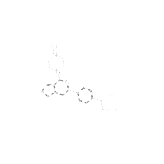 CCN1CCN(c2nc(-c3ccc(C(S)C(C)OC(C)=O)cc3)cc3ccsc23)CC1